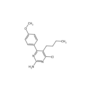 CCCCc1c(Cl)nc(N)nc1-c1ccc(OC)cc1